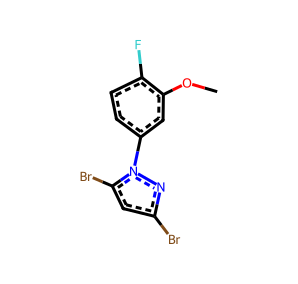 COc1cc(-n2nc(Br)cc2Br)ccc1F